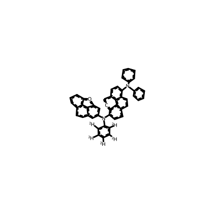 [2H]c1c([2H])c([2H])c(N(c2cc3ccc4cccc5oc(c2)c3c45)c2ccc3ccc4c(N(c5ccccc5)c5ccccc5)ccc5ccc2c3c54)c([2H])c1[2H]